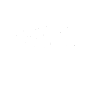 C=CC(F)(F)C(F)(F)S(=O)(=O)ON1C(=O)C2CC=CCC2C1=O